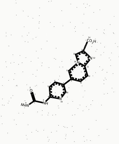 CNC(=O)Nc1ccc(-c2ccc3nc(C(=O)O)cn3c2)cn1